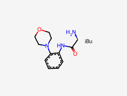 CC[C@H](C)[C@H](N)C(=O)Nc1ccccc1N1CCOCC1